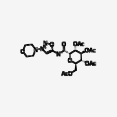 CC(=O)OC[C@H]1O[C@H](C(=O)[N-]c2c[n+](N3CCOCC3)no2)[C@H](OC(C)=O)[C@@H](OC(C)=O)[C@@H]1OC(C)=O